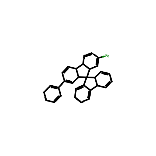 BrC1=CC2C(C=C1)C1C=CC(C3=CCCC=C3)=CC1C21C2=CCCC=C2C2C=CC=CC21